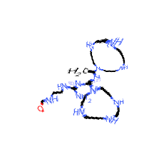 C=C(/N=C(\N=C(/N)NCCNC=O)N1CCNCCNCCNCC1)N1CCNCCNCCNCC1